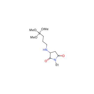 CCN1C(=O)CC(NCCC[Si](OC)(OC)OC)C1=O